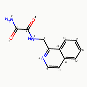 NC(=O)C(=O)NCc1nccc2ccccc12